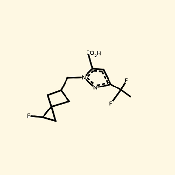 CC(F)(F)c1cc(C(=O)O)n(CC2CC3(C2)CC3F)n1